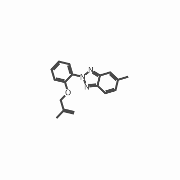 C=C(C)COc1ccccc1-n1nc2ccc(C)cc2n1